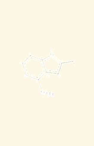 CCOC(=O)c1cccc2oc(C)cc12